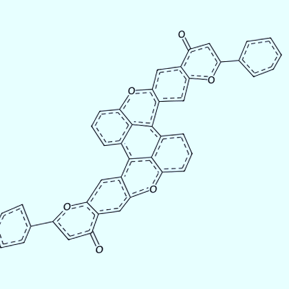 O=c1cc(-c2ccccc2)oc2cc3c(cc12)oc1cccc2c1c3c1cccc3oc4cc5c(=O)cc(-c6ccccc6)oc5cc4c2c31